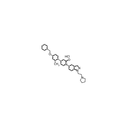 Cc1cc(OCc2ccccc2)ccc1-c1ccn(-c2ccc3c(cnn3CCN3CCCC3)c2)c(=O)c1.Cl